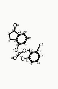 O=C1CCc2c(OP(=O)(O)Oc3cccc(I)c3)cccc21